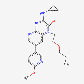 CCCOCCn1c(=O)c(NC2CC2)nc2ncc(-c3ccc(OC)nc3)cc21